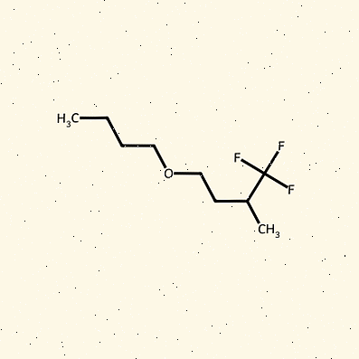 CCCCOCCC(C)C(F)(F)F